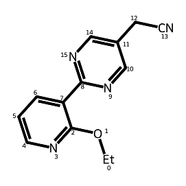 CCOc1ncccc1-c1ncc(CC#N)cn1